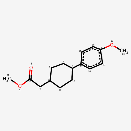 COC(=O)CC1CCC(c2ccc(OC)cc2)CC1